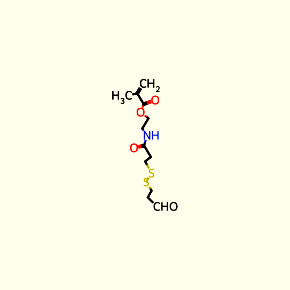 C=C(C)C(=O)OCCNC(=O)CCSSCCC=O